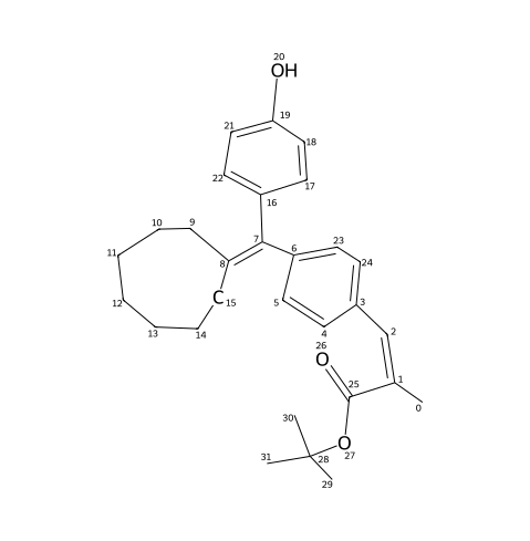 CC(=Cc1ccc(C(=C2CCCCCCC2)c2ccc(O)cc2)cc1)C(=O)OC(C)(C)C